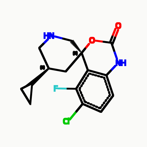 O=C1Nc2ccc(Cl)c(F)c2[C@]2(CNC[C@H](C3CC3)C2)O1